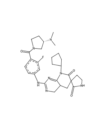 CN(C)[C@H]1CCN(C(=O)c2ccc(NC3=NCC4CC5(CCNC5=O)C(=O)N(C5CCCC5)C4=N3)cc2F)C1